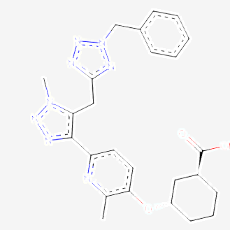 Cc1nc(-c2nnn(C)c2Cc2nnn(Cc3ccccc3)n2)ccc1O[C@H]1CCC[C@H](C(=O)O)C1